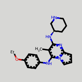 CCOc1ccc(Nc2c(C)c(N[C@@H]3CCCNC3)nc3cccn23)cc1